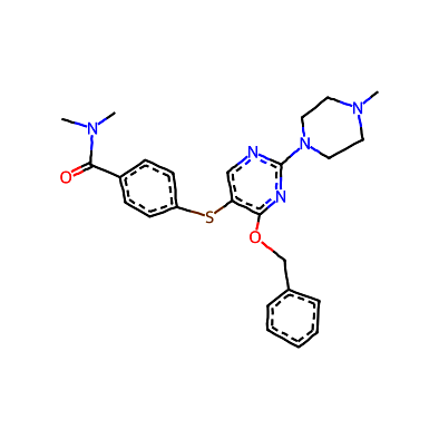 CN1CCN(c2ncc(Sc3ccc(C(=O)N(C)C)cc3)c(OCc3ccccc3)n2)CC1